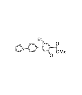 CCn1cc(C(=O)OC)c(=O)cc1-c1ccc(-n2cccc2)cc1